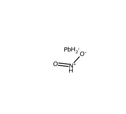 O=[NH+][O-].[PbH2]